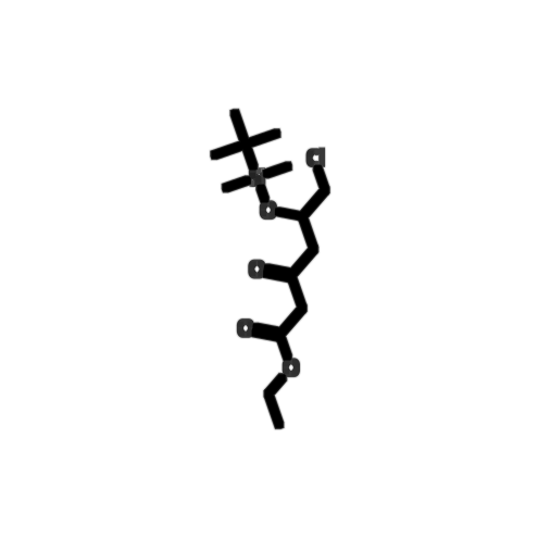 CCOC(=O)CC(=O)CC(CCl)O[Si](C)(C)C(C)(C)C